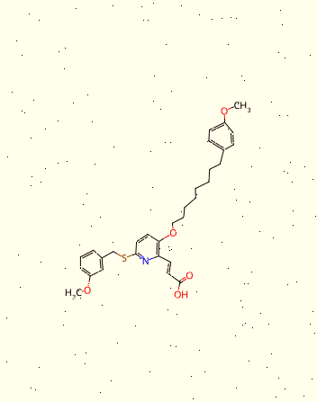 COc1ccc(CCCCCCCCOc2ccc(SCc3cccc(OC)c3)nc2C=CC(=O)O)cc1